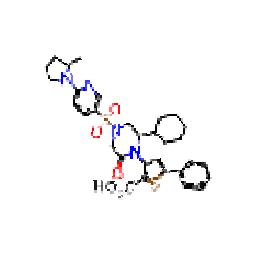 C[C@@H]1CCCN1c1ccc(S(=O)(=O)N2CC(=O)N(c3cc(-c4ccccc4)sc3C(=O)O)C(C3CCCCC3)C2)cn1